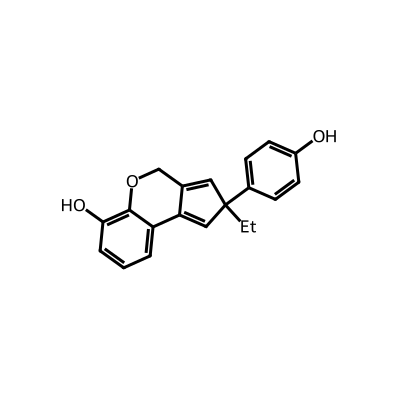 CCC1(c2ccc(O)cc2)C=C2COc3c(O)cccc3C2=C1